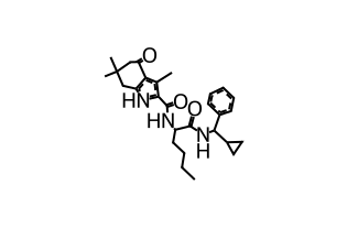 CCCCC(NC(=O)c1[nH]c2c(c1C)C(=O)CC(C)(C)C2)C(=O)NC(c1ccccc1)C1CC1